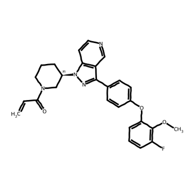 C=CC(=O)N1CCC[C@@H](n2nc(-c3ccc(Oc4cccc(F)c4OC)cc3)c3cnccc32)C1